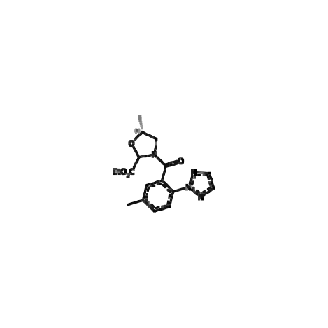 CCOC(=O)C1O[C@H](C)CN1C(=O)c1cc(C)ccc1-n1nccn1